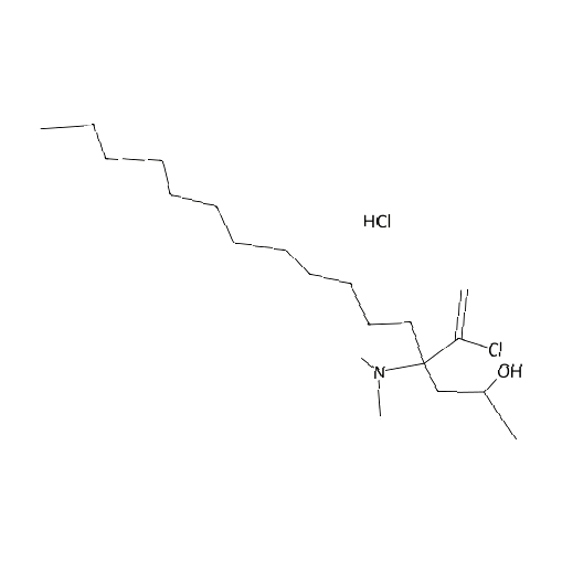 C=C(Cl)C(CCCCCCCCCCCC)(CC(C)O)N(C)C.Cl